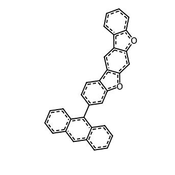 c1ccc2c(-c3ccc4c(c3)oc3cc5oc6ccccc6c5cc34)c3ccccc3cc2c1